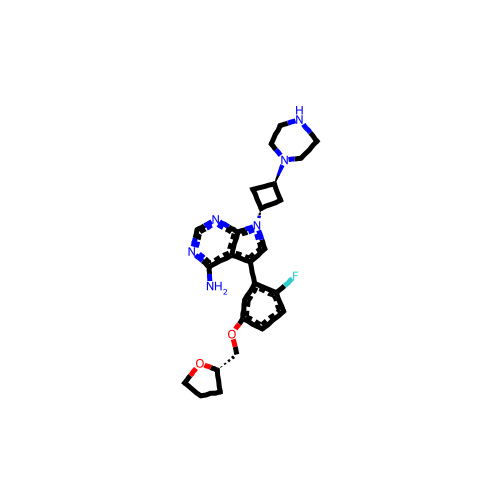 Nc1ncnc2c1c(-c1cc(OC[C@@H]3CCCO3)ccc1F)cn2[C@H]1C[C@H](N2CCNCC2)C1